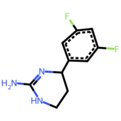 NC1=NC(c2cc(F)cc(F)c2)CCN1